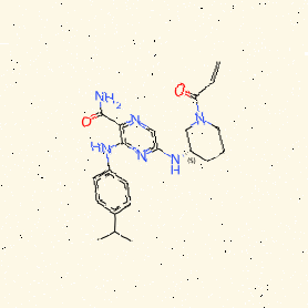 C=CC(=O)N1CCC[C@H](Nc2cnc(C(N)=O)c(Nc3ccc(C(C)C)cc3)n2)C1